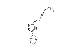 CCC#CCOc1nsc(C2CC3CCC2C3)n1